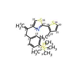 C=C(Cc1ccc([SH](C)(C)(C)C)cc1)c1csc(-c2sccc2C)n1